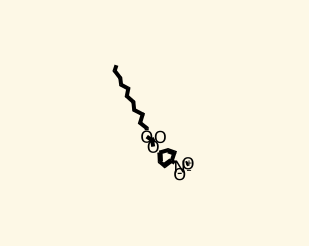 CCCCCCCCCCCOC(=O)Oc1ccc([N+](=O)[O-])cc1